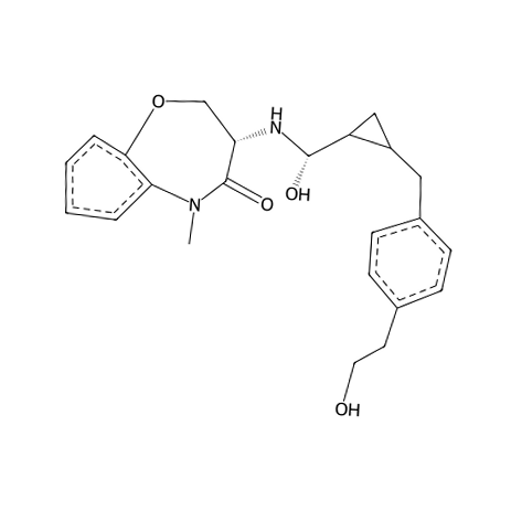 CN1C(=O)[C@@H](N[C@@H](O)C2CC2Cc2ccc(CCO)cc2)COc2ccccc21